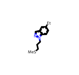 CCc1ccc2c(cnn2CCCSC)c1